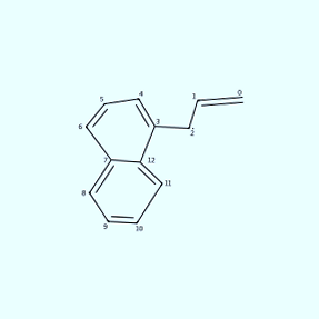 C=C[CH]c1cccc2ccccc12